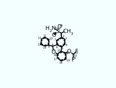 CC(c1ccc2c(c1)C(c1ccccc1)Oc1cccc(OC(F)F)c1-2)S(N)(=O)=O